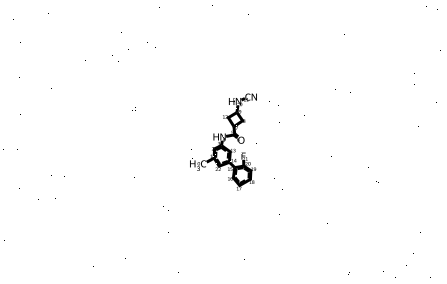 Cc1cc(NC(=O)C2CC(NC#N)C2)cc(-c2ccccc2F)c1